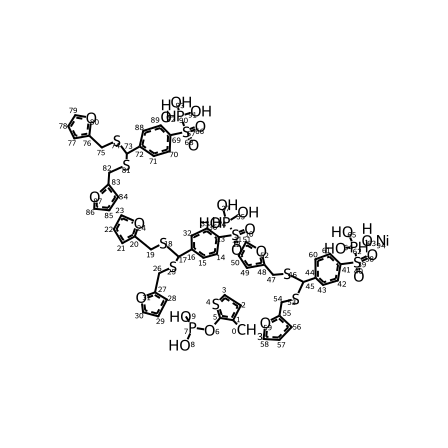 Cc1ccsc1OP(O)O.O=S(=O)(c1ccc(C(SCc2ccco2)SCc2ccco2)cc1)[PH](O)(O)O.O=S(=O)(c1ccc(C(SCc2ccco2)SCc2ccco2)cc1)[PH](O)(O)O.O=S(=O)(c1ccc(C(SCc2ccco2)SCc2ccco2)cc1)[PH](O)(O)O.[Ni]